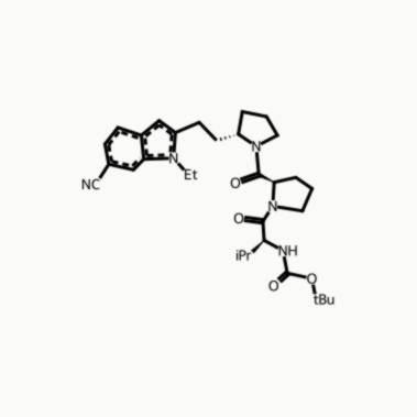 CCn1c(CC[C@@H]2CCCN2C(=O)[C@H]2CCCN2C(=O)[C@@H](NC(=O)OC(C)(C)C)C(C)C)cc2ccc(C#N)cc21